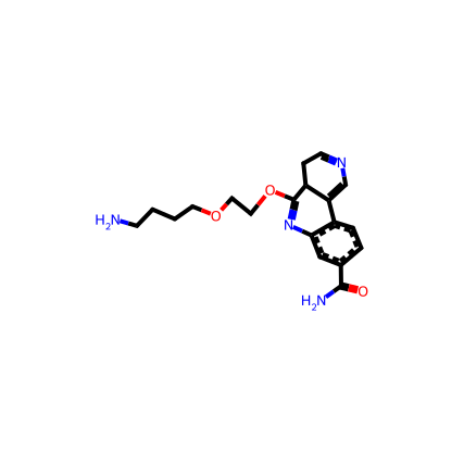 NCCCCOCCOC1=Nc2cc(C(N)=O)ccc2C2=CN=CCC21